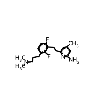 Cc1cc(N)nc(CCc2c(F)ccc(CCCN(C)C)c2F)c1